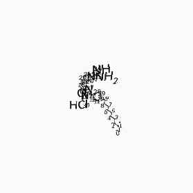 CCCCCCCCCCc1ccc(-c2noc(C[C@H]3CCN(C(=N)N)C3)n2)cc1.Cl